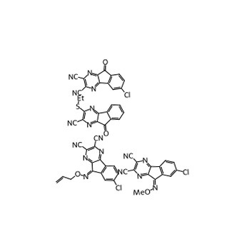 C=CCON=C1c2cc(Cl)ccc2-c2nc(C#N)c(C#N)nc21.CCSc1nc2c(nc1C#N)C(=O)c1ccccc1-2.CON=C1c2cc(Cl)ccc2-c2nc(C#N)c(C#N)nc21.N#Cc1nc2c(nc1C#N)-c1cc(Cl)ccc1C2=O